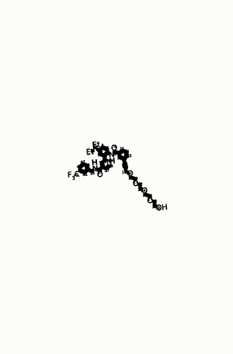 CCN(CC)c1ccc(NC(=O)c2cccc(C#CCOCCOCCOCCOCCO)c2)c(-c2cc(C(=O)NCc3cccc(C(F)(F)F)c3)ccn2)c1